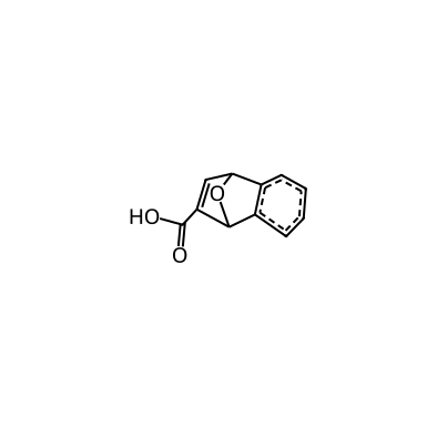 O=C(O)C1=CC2OC1c1ccccc12